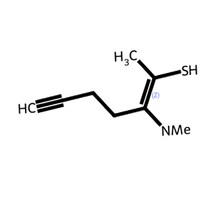 C#CCC/C(NC)=C(\C)S